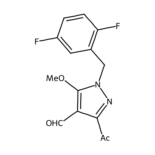 COc1c(C=O)c(C(C)=O)nn1Cc1cc(F)ccc1F